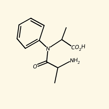 CC(N)C(=O)N(c1ccccc1)C(C)C(=O)O